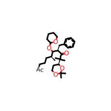 CC(=O)CCC[C@H](C)C(OC1CCCCO1)[C@@H](Cc1ccccc1)C(=O)C(C)(C)[C@@H]1CCOC(C)(C)O1